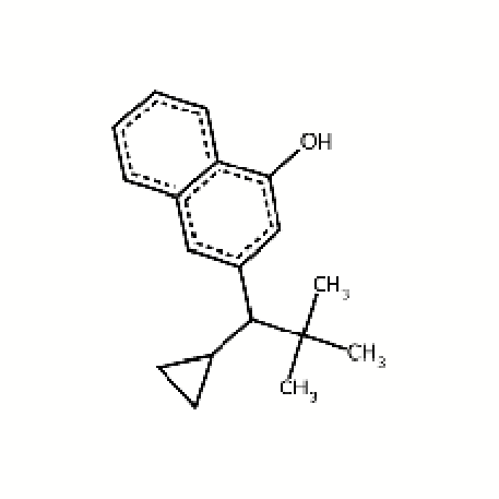 CC(C)(C)C(c1cc(O)c2ccccc2c1)C1CC1